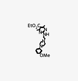 CCOC(=O)c1c(C)nc(NCCN2CCN(c3cccc(OC)c3)CC2)nc1C